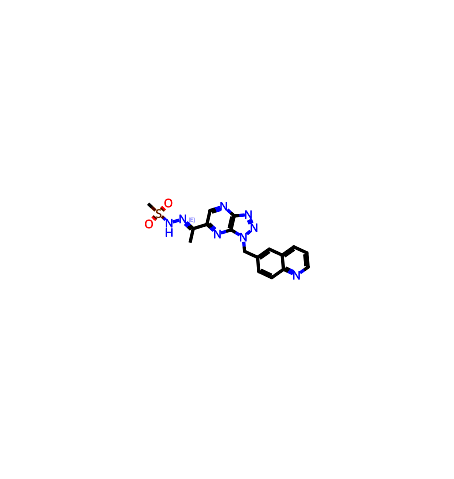 C/C(=N\NS(C)(=O)=O)c1cnc2nnn(Cc3ccc4ncccc4c3)c2n1